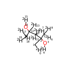 [2H]CC(O[2H])(C([2H])([2H])[2H])C([2H])([2H])C([2H])(O[2H])C([2H])([2H])[2H]